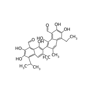 CCc1c(O)c(O)c(C=O)c2c(O)c(-c3c(C)cc4c(C(C)C)c(O)c(O)c(C=O)c4c3O)c(C)cc12